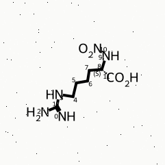 N=C(N)NCCCC[C@H](N[N+](=O)[O-])C(=O)O